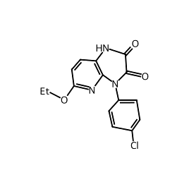 CCOc1ccc2[nH]c(=O)c(=O)n(-c3ccc(Cl)cc3)c2n1